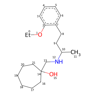 CCOc1ccccc1CCC(C)NCC1(O)CCCCCC1